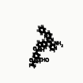 Nc1ncccc1-c1nc2ccc(-c3ccccc3)nc2n1-c1ccc2c(c1)CC[C@@H]2NC(=O)c1ccc(NC(=O)C(F)F)c(C=O)c1